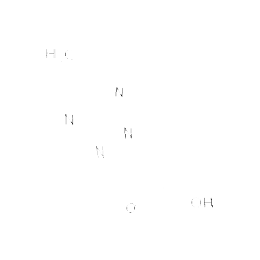 Cc1nnn(CC(=O)O)n1